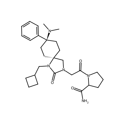 CN(C)[C@]1(c2ccccc2)CC[C@]2(CC1)CN(CC(=O)N1CCCC1C(N)=O)C(=O)N2CC1CCC1